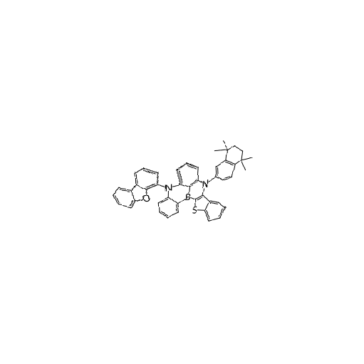 CC1(C)CCC(C)(C)c2cc(N3c4cccc5c4B(c4ccccc4N5c4cccc5c4oc4ccccc45)c4sc5ccccc5c43)ccc21